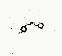 Brc1ccc(OC/C=N\OC2CCCCO2)cc1